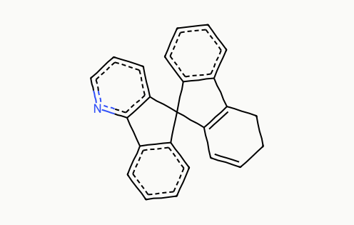 C1=CC2=C(CC1)c1ccccc1C21c2ccccc2-c2ncccc21